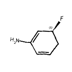 NC1=C[C@@H](F)CC=C1